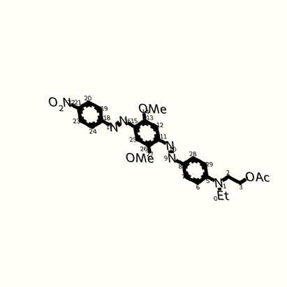 CCN(CCOC(C)=O)c1ccc(/N=N/c2cc(OC)c(/N=N/c3ccc([N+](=O)[O-])cc3)cc2OC)cc1